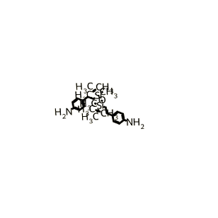 CC(C)(C)[Si](C)(CCc1ccc(N)cc1)O[Si](C)(CCc1ccc(N)cc1)C(C)(C)C